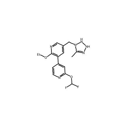 CCOc1ncc(CN2NNN=C2C)cc1-c1ccnc(OC(F)F)c1